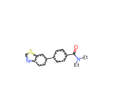 CCN(CC)C(=O)c1ccc(-c2ccc3ncsc3c2)cc1